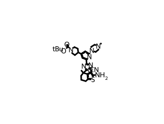 CN1CCN(c2cc(C3CCN(C(=O)OC(C)(C)C)CC3)cc(-c3noc(C4(C)CCCc5sc(N)c(C#N)c54)n3)n2)CC1